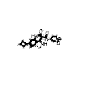 CNc1c(C(=O)N[C@@H]2C=CS(=O)(=O)C2)c(=O)[nH]c2cc(C3CCC3)ccc12